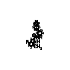 Cc1ccc(F)c2cc(C(=O)N[C@@H]3CCC[C@@H](N4CCn5cncc5C4)C3)[nH]c12